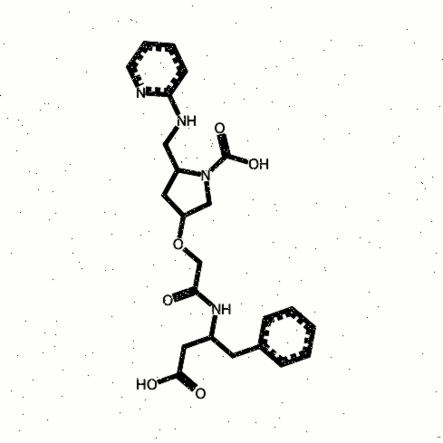 O=C(O)CC(Cc1ccccc1)NC(=O)COC1CC(CNc2ccccn2)N(C(=O)O)C1